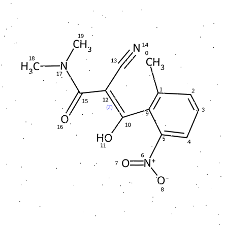 Cc1cccc([N+](=O)[O-])c1/C(O)=C(\C#N)C(=O)N(C)C